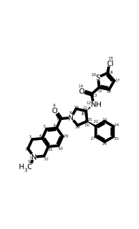 CN1CCc2cc(C(=O)N3C[C@H](NC(=O)c4ccc(Cl)s4)[C@@H](c4ccccc4)C3)ccc2C1